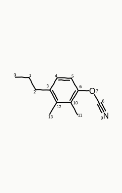 CCCc1ccc(OC#N)c(C)c1C